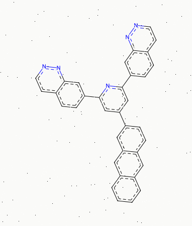 c1ccc2cc3cc(-c4cc(-c5ccc6ccnnc6c5)nc(-c5ccc6ccnnc6c5)c4)ccc3cc2c1